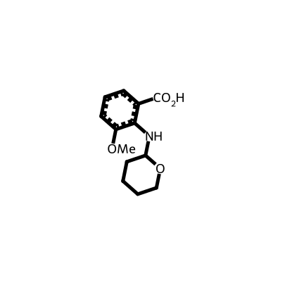 COc1cccc(C(=O)O)c1NC1CCCCO1